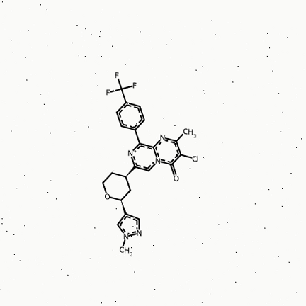 Cc1nc2c(-c3ccc(C(F)(F)F)cc3)nc([C@@H]3CCO[C@H](c4cnn(C)c4)C3)cn2c(=O)c1Cl